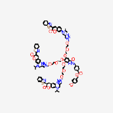 COc1ccc(COC(=O)c2ccc(CNC(=O)c3cc(OCCOCCOCn4cc(CN(c5ccc6cc(-c7nc8ccccc8s7)c(=O)oc6c5)C(C)C)nn4)c(OCCOCCOCn4cc(CN(c5ccc6cc(-c7nc8ccccc8s7)c(=O)oc6c5)C(C)C)nn4)c(OCCOCCOCn4cc(CN(c5ccc6cc(-c7nc8ccccc8s7)c(=O)oc6c5)C(C)C)nn4)c3)cc2)cc1